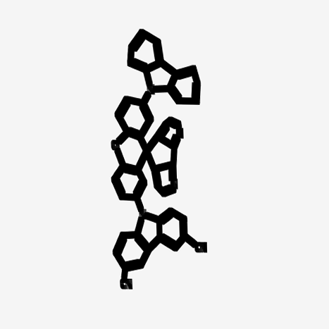 N#Cc1ccc2c(c1)c1cc(C#N)ccc1n2-c1ccc2c(c1)C1(c3cc(-n4c5ccccc5c5ccccc54)ccc3O2)c2cccnc2-c2ncccc21